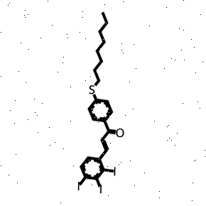 CCCCCCCCSc1ccc(C(=O)C=Cc2ccc(I)c(I)c2I)cc1